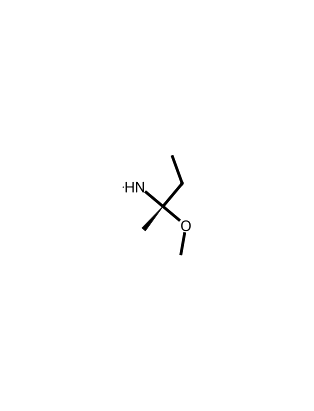 CC[C@@](C)([NH])OC